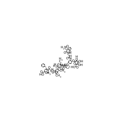 CCO[C@H](C[C@H](C(C)C)N(C)C(=O)[C@@H](NC(=O)[C@H]1CCCC[N+]1(C)Cc1ccc(O[C@@H]2O[C@H](C(=O)O)[C@@H](O)[C@H](O)[C@H]2O)c(NC(=O)CCNC(=O)C(CN)N2C(=O)C=CC2=O)c1)[C@@H](C)CC)c1nc(C(=O)N[C@@H](Cc2ccccc2)C[C@H](C)C(=O)O)cs1